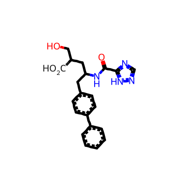 O=C(NC(Cc1ccc(-c2ccccc2)cc1)CC(CO)C(=O)O)c1ncn[nH]1